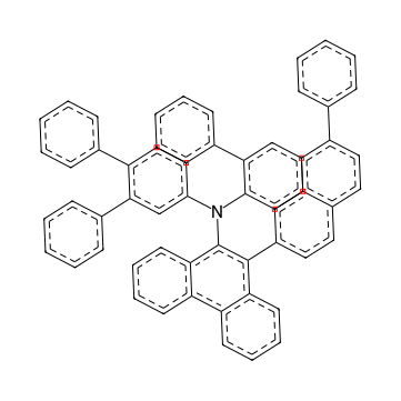 c1ccc(-c2ccc3ccc(-c4c(N(c5ccc(-c6ccccc6)c(-c6ccccc6)c5)c5ccccc5-c5ccccc5)c5ccccc5c5ccccc45)cc3c2)cc1